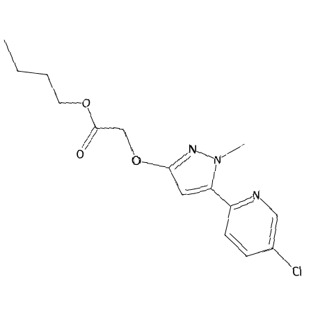 CCCCOC(=O)COc1cc(-c2ccc(Cl)cn2)n(C)n1